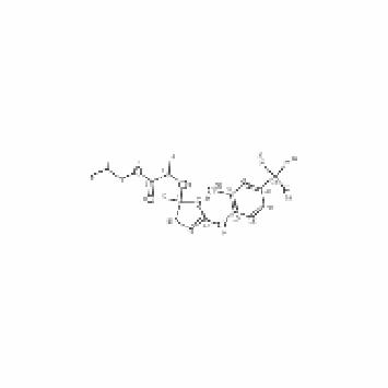 CCCOC(=O)C(C)OC1(C)CC=C(Oc2ccc(C(F)(F)F)cc2Cl)S1